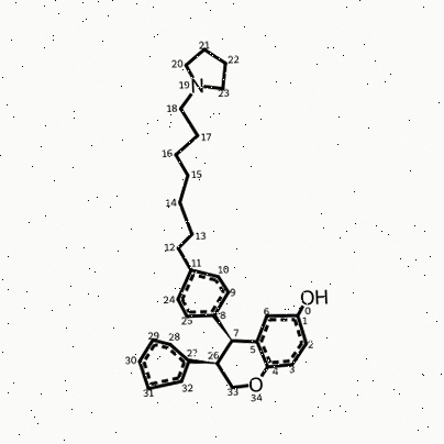 Oc1ccc2c(c1)[C@H](c1ccc(CCCCCCCN3CCCC3)cc1)[C@H](c1ccccc1)CO2